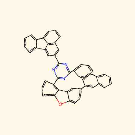 c1ccc(-c2nc(-c3cc4c5c(cccc5c3)-c3ccccc3-4)nc(-c3cccc4oc5ccc(-c6ccc7ccccc7c6)cc5c34)n2)cc1